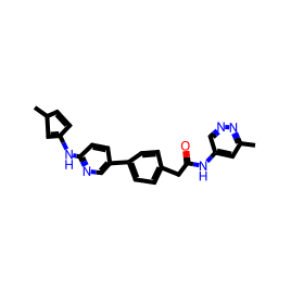 Cc1cc(NC(=O)Cc2ccc(-c3ccc(NC4=CC(C)C=C4)nc3)cc2)cnn1